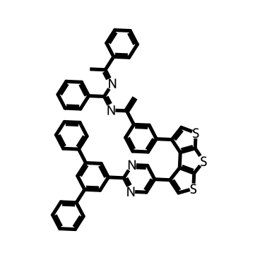 C=C(/N=C(\N=C(/C)c1ccccc1)c1ccccc1)c1cccc(-c2csc3sc4scc(-c5cnc(-c6cc(-c7ccccc7)cc(-c7ccccc7)c6)nc5)c4c23)c1